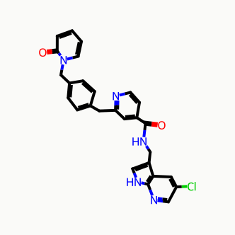 O=C(NCc1c[nH]c2ncc(Cl)cc12)c1ccnc(Cc2ccc(Cn3ccccc3=O)cc2)c1